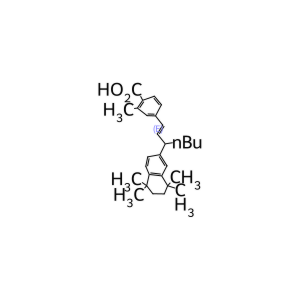 CCCCC(/C=C/c1ccc(C(=O)O)c(C)c1)c1ccc2c(c1)C(C)(C)CCC2(C)C